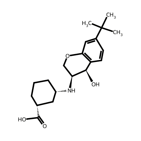 CC(C)(C)c1ccc2c(c1)OC[C@H](N[C@H]1CCC[C@@H](C(=O)O)C1)[C@@H]2O